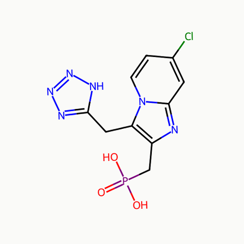 O=P(O)(O)Cc1nc2cc(Cl)ccn2c1Cc1nnn[nH]1